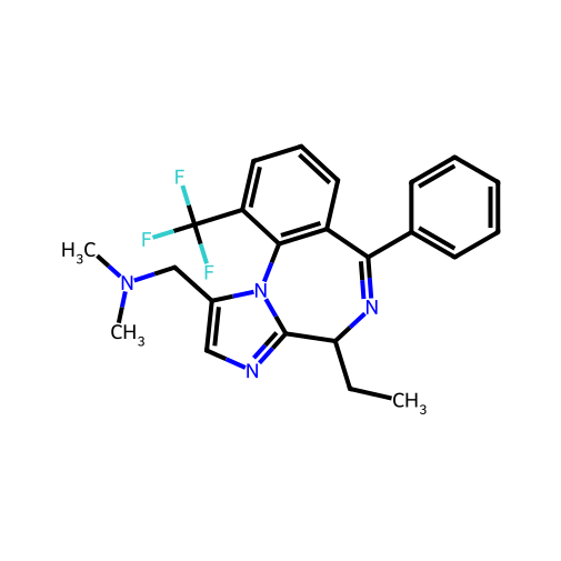 CCC1N=C(c2ccccc2)c2cccc(C(F)(F)F)c2-n2c(CN(C)C)cnc21